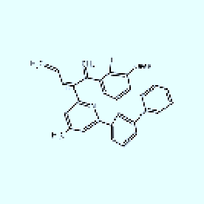 C=C/C=C(\C(=C)c1cccc(OC)c1I)c1cc(C)cc(-c2cccc(-c3ccccc3)c2)n1